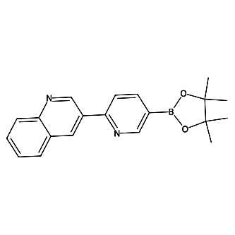 CC1(C)OB(c2ccc(-c3cnc4ccccc4c3)nc2)OC1(C)C